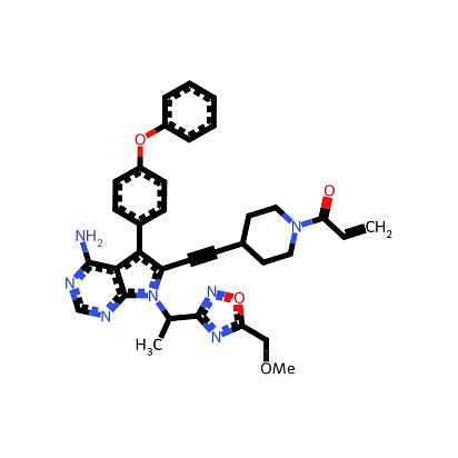 C=CC(=O)N1CCC(C#Cc2c(-c3ccc(Oc4ccccc4)cc3)c3c(N)ncnc3n2C(C)c2noc(COC)n2)CC1